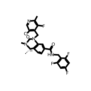 Cc1ncc(Cl)c(CN2C(=O)N(C)[C@@H](C)c3ccc(C(=O)NCc4c(F)cc(F)cc4F)cc32)c1F